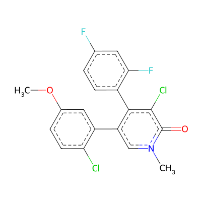 COc1ccc(Cl)c(-c2cn(C)c(=O)c(Cl)c2-c2ccc(F)cc2F)c1